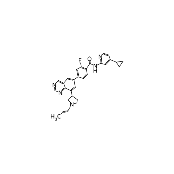 CC=CN1CCC(c2cc(-c3ccc(C(=O)Nc4cc(C5CC5)ccn4)c(F)c3)cc3cncnc23)C1